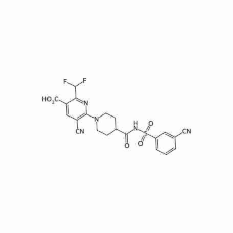 N#Cc1cccc(S(=O)(=O)NC(=O)C2CCN(c3nc(C(F)F)c(C(=O)O)cc3C#N)CC2)c1